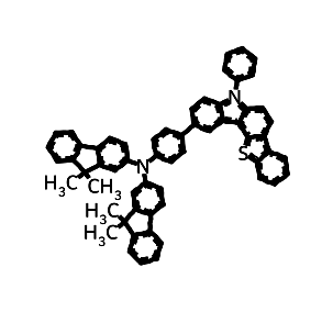 CC1(C)c2ccccc2-c2ccc(N(c3ccc(-c4ccc5c(c4)c4c6sc7ccccc7c6ccc4n5-c4ccccc4)cc3)c3ccc4c(c3)C(C)(C)c3ccccc3-4)cc21